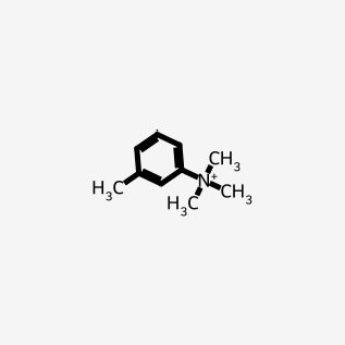 Cc1c[c]cc([N+](C)(C)C)c1